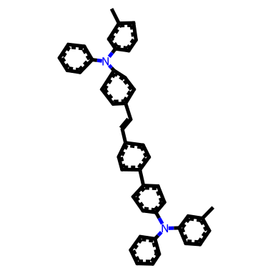 Cc1cccc(N(c2ccccc2)c2ccc(/C=C/c3ccc(-c4ccc(N(c5ccccc5)c5cccc(C)c5)cc4)cc3)cc2)c1